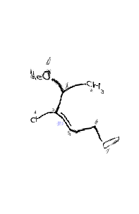 COC(C)/C(Cl)=C\CCl